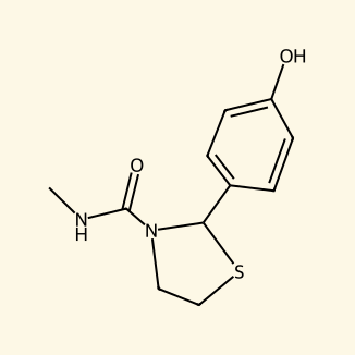 CNC(=O)N1CCSC1c1ccc(O)cc1